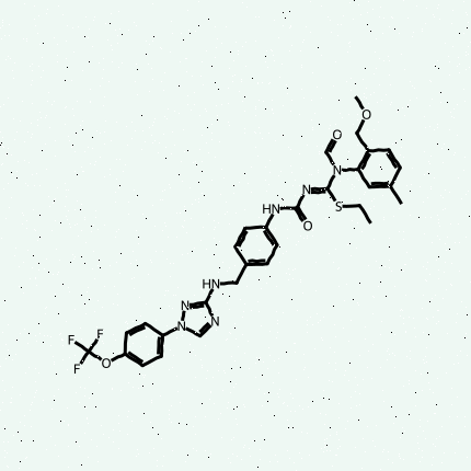 CCS/C(=N\C(=O)Nc1ccc(CNc2ncn(-c3ccc(OC(F)(F)F)cc3)n2)cc1)N(C=O)c1cc(C)ccc1COC